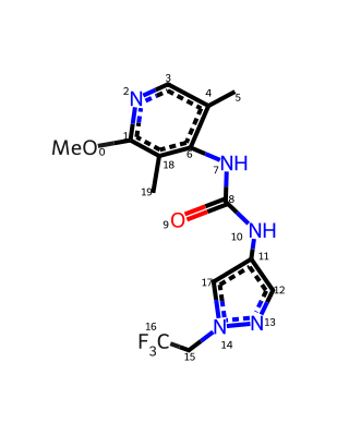 COc1ncc(C)c(NC(=O)Nc2cnn(CC(F)(F)F)c2)c1C